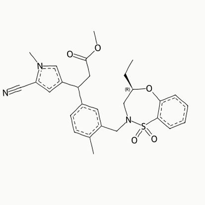 CC[C@@H]1CN(Cc2cc(C(CC(=O)OC)c3cc(C#N)n(C)c3)ccc2C)S(=O)(=O)c2ccccc2O1